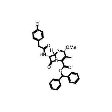 CO[C@H]1S[C@H]2[C@@H](NC(=O)Cc3ccc(Cl)cc3)C(=O)N2C(C(=O)OC(c2ccccc2)c2ccccc2)=C1C